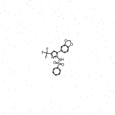 O=S(=O)(Nn1nc(C(F)(F)F)cc1-c1ccc2c(c1)OCO2)c1ccccc1